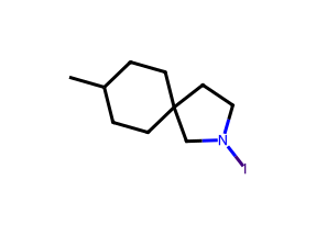 CC1CCC2(CC1)CCN(I)C2